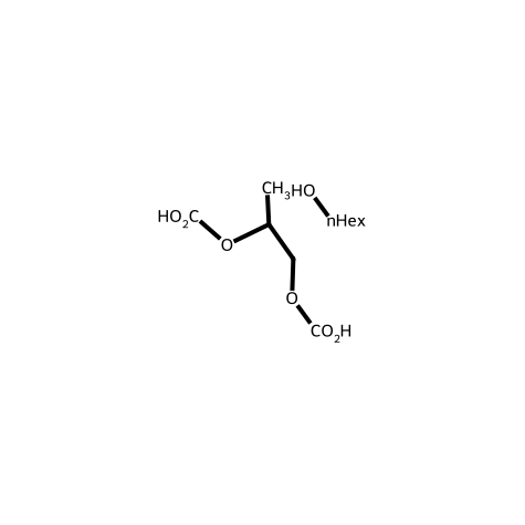 CC(COC(=O)O)OC(=O)O.CCCCCCO